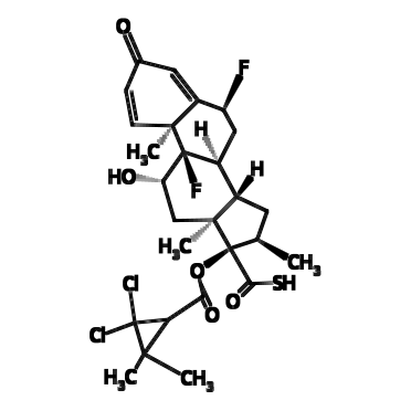 C[C@@H]1C[C@H]2[C@@H]3C[C@H](F)C4=CC(=O)C=C[C@]4(C)[C@@]3(F)[C@@H](O)C[C@]2(C)[C@@]1(OC(=O)C1C(C)(C)C1(Cl)Cl)C(=O)S